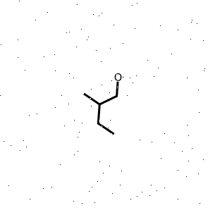 CCC(C)C[O]